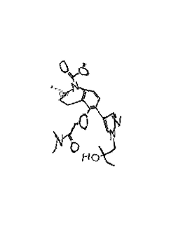 COC(=O)N1c2ccc(-c3cnn(CC(C)(C)O)c3)c(OCC(=O)N(C)C)c2CC[C@@H]1C